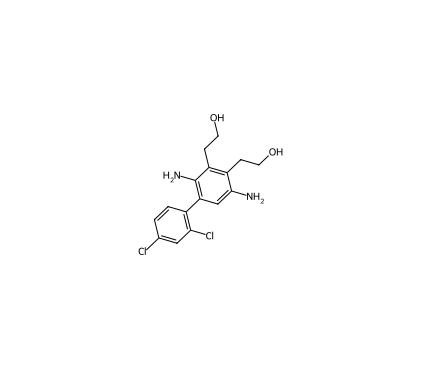 Nc1cc(-c2ccc(Cl)cc2Cl)c(N)c(CCO)c1CCO